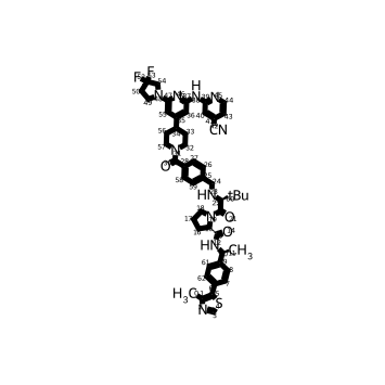 Cc1ncsc1-c1ccc([C@H](C)NC(=O)[C@@H]2CCCN2C(=O)[C@@H](NCc2ccc(C(=O)N3CCC(c4cc(Nc5cc(C#N)ccn5)nc(N5CCC(F)(F)C5)c4)CC3)cc2)C(C)(C)C)cc1